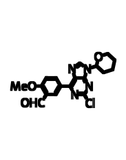 COc1ccc(-c2nc(Cl)nc3c2ncn3C2CCCCO2)cc1C=O